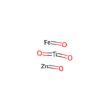 [O]=[Fe].[O]=[Ti]=[O].[O]=[Zn]